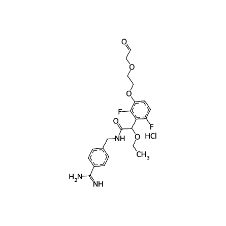 CCOC(C(=O)NCc1ccc(C(=N)N)cc1)c1c(F)ccc(OCCOCC=O)c1F.Cl